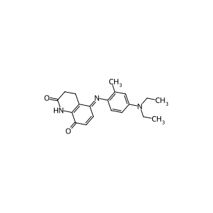 CCN(CC)c1ccc(N=C2C=CC(=O)C3=C2CCC(=O)N3)c(C)c1